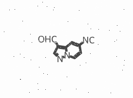 [C-]#[N+]c1ccn2ncc(C=O)c2c1